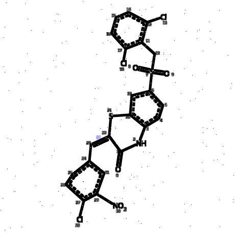 O=C1Nc2ccc(S(=O)(=O)Cc3c(Cl)cccc3Cl)cc2S/C1=C/c1ccc(Cl)c([N+](=O)[O-])c1